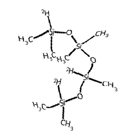 [2H][Si](C)(C)O[Si]([2H])(C)O[Si](C)(C)O[Si]([2H])(C)C